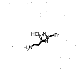 CC(C)n1nnc(CCN)n1.Cl